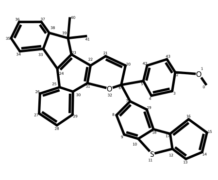 COc1ccc(C2(c3ccc4sc5ccccc5c4c3)C=Cc3c4c(c5ccccc5c3O2)-c2ccccc2C4(C)C)cc1